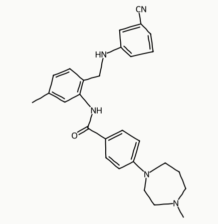 Cc1ccc(CNc2cccc(C#N)c2)c(NC(=O)c2ccc(N3CCCN(C)CC3)cc2)c1